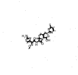 CON=C(C(=O)N[C@@H]1C(=O)N2C(C(=O)O)=C(CSc3nccc(C)n3)CS[C@@H]12)c1csc(N)n1